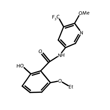 CCOc1cccc(O)c1C(=O)Nc1cnc(OC)c(C(F)(F)F)c1